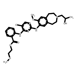 COCCOC(=O)c1ccccc1Nc1nc(Nc2cc3c(cc2OC)CCN(CC(C)O)CC3)ncc1Cl